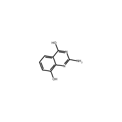 Nc1nc(O)c2cccc(O)c2n1